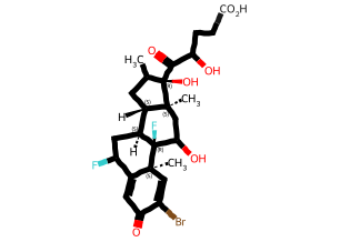 CC1C[C@H]2[C@@H]3CC(F)C4=CC(=O)C(Br)=C[C@]4(C)[C@@]3(F)C(O)C[C@]2(C)[C@@]1(O)C(=O)C(O)CCC(=O)O